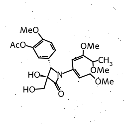 COC/C=C(\C=C(\OC)C(C)OC)N1C(=O)[C@](O)(CO)[C@@H]1c1ccc(OC)c(OC(C)=O)c1